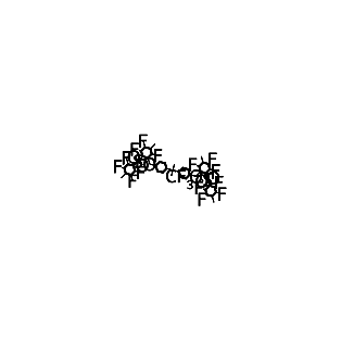 Cc1c(F)c(F)c(S(=O)(=O)c2c(F)c(F)c(C)c(F)c2Oc2ccc(C(C)(c3ccc(Oc4c(F)c(C)c(F)c(F)c4S(=O)(=O)c4c(F)c(F)c(C)c(F)c4F)cc3)C(F)(F)F)cc2)c(F)c1F